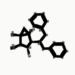 CC[C@@]12C[C@@H]1[C@@H](N(Cc1ccccc1)Cc1ccccc1)[C@H](F)[C@H]2O